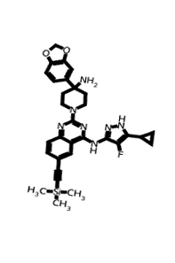 C[Si](C)(C)C#Cc1ccc2nc(N3CCC(N)(c4ccc5c(c4)OCO5)CC3)nc(Nc3n[nH]c(C4CC4)c3F)c2c1